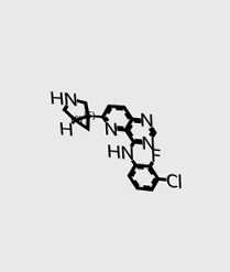 Fc1c(Cl)cccc1Nc1ncnc2ccc([C@]34CNC[C@H]3C4)nc12